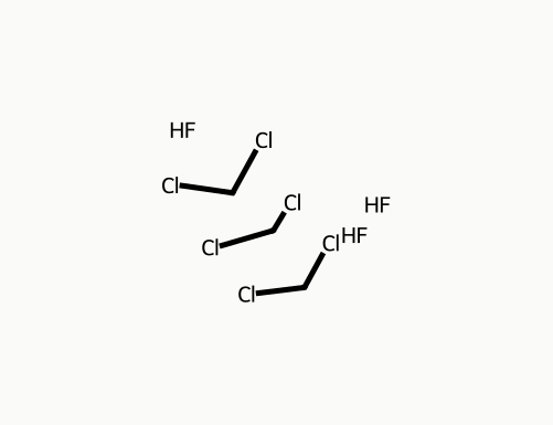 ClCCl.ClCCl.ClCCl.F.F.F